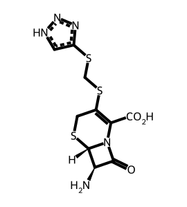 N[C@@H]1C(=O)N2C(C(=O)O)=C(SCSc3c[nH]nn3)CS[C@@H]12